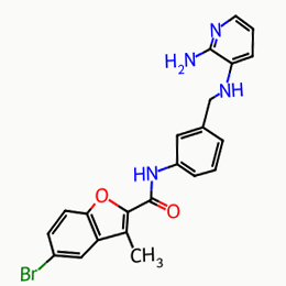 Cc1c(C(=O)Nc2cccc(CNc3cccnc3N)c2)oc2ccc(Br)cc12